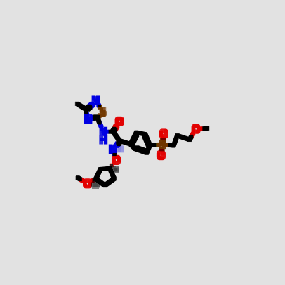 COCCCS(=O)(=O)c1ccc(/C(=N\O[C@@H]2CC[C@@H](OC)C2)C(=O)Nc2nc(C)ns2)cc1